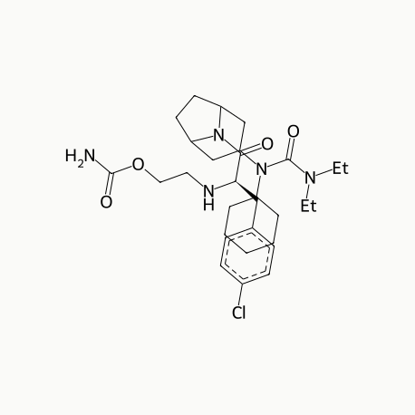 CCN(CC)C(=O)N(C1CCCCC1)C1CC2CCC(C1)N2C(=O)[C@@H](Cc1ccc(Cl)cc1)NCCOC(N)=O